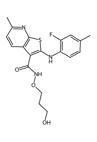 Cc1ccc(Nc2sc3nc(C)ccc3c2C(=O)NOCCCO)c(F)c1